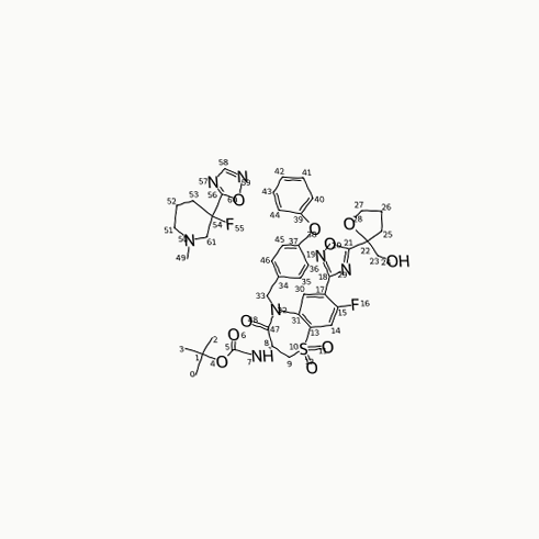 CC(C)(C)OC(=O)N[C@H]1CS(=O)(=O)c2cc(F)c(-c3noc(C4(CO)CCCO4)n3)cc2N(Cc2ccc(Oc3ccccc3)cc2)C1=O.CN1CCCC(F)(c2ncno2)C1